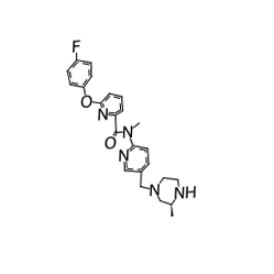 C[C@H]1CN(Cc2ccc(N(C)C(=O)c3cccc(Oc4ccc(F)cc4)n3)nc2)CCN1